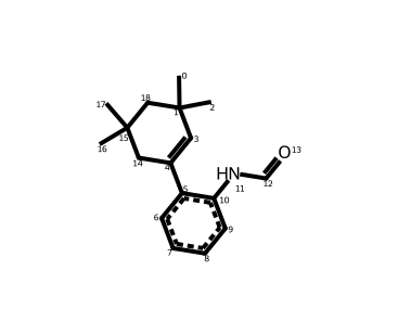 CC1(C)C=C(c2ccccc2NC=O)CC(C)(C)C1